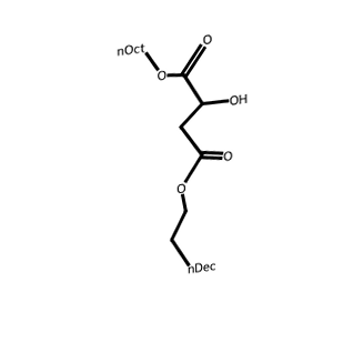 CCCCCCCCCCCCOC(=O)CC(O)C(=O)OCCCCCCCC